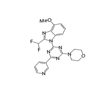 COc1cccc2c1nc(C(F)F)n2-c1nc(-c2cccnc2)nc(N2CCOCC2)n1